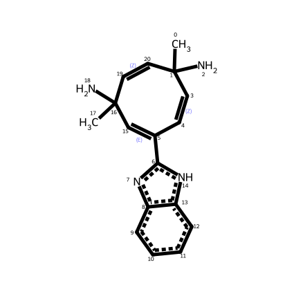 CC1(N)/C=C\C(c2nc3ccccc3[nH]2)=C/C(C)(N)/C=C\1